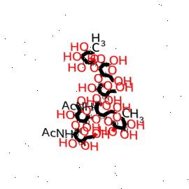 CC(=O)N[C@H]1C(O)[C@H](O)C(CO)O[C@H]1OC1[C@@H](O)C(CO)O[C@@H](OC2[C@H](O[C@@H]3OC(C)[C@@H](O)[C@H](O)C3O)C(CO)O[C@@H](OC3[C@@H](O)C(CO)O[C@@H](O[C@@H]4C(CO)OC(O)[C@@H](O)C4O[C@@H]4OC(C)[C@@H](O)C(O)[C@@H]4O)[C@H]3O)[C@H]2NC(C)=O)[C@H]1O